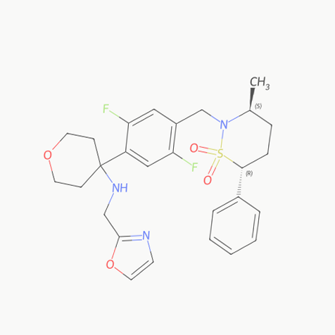 C[C@H]1CC[C@H](c2ccccc2)S(=O)(=O)N1Cc1cc(F)c(C2(NCc3ncco3)CCOCC2)cc1F